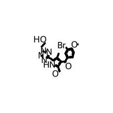 COc1ccc(C(=O)c2c(C=O)[nH]c(-c3nnn(CCO)n3)c2C)cc1Br